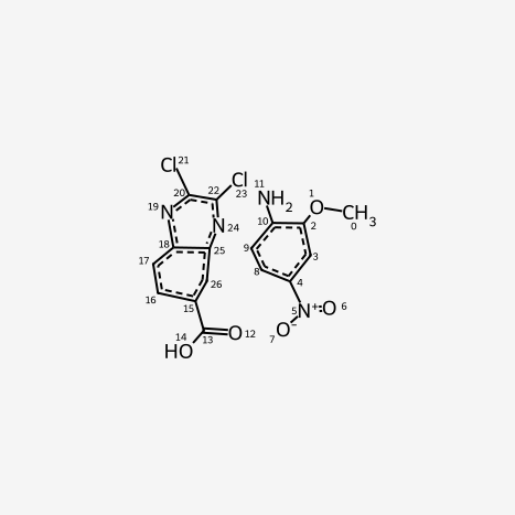 COc1cc([N+](=O)[O-])ccc1N.O=C(O)c1ccc2nc(Cl)c(Cl)nc2c1